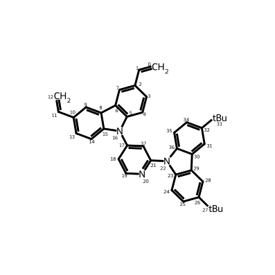 C=Cc1ccc2c(c1)c1cc(C=C)ccc1n2-c1ccnc(-n2c3ccc(C(C)(C)C)cc3c3cc(C(C)(C)C)ccc32)c1